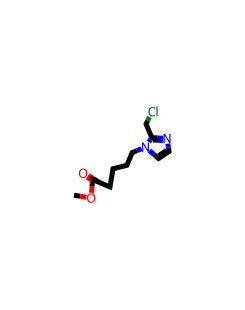 COC(=O)CCCCn1ccnc1CCl